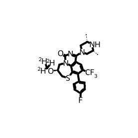 [2H]C([2H])([2H])O[C@@H]1CSc2c(-c3ccc(F)cc3)c(C(F)(F)F)cc3c(N4C[C@@H](C)N[C@@H](C)C4)nc(=O)n(c23)C1